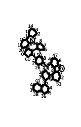 c1ccc(-c2ccccc2-n2c3ccccc3c3ccccc32)c(-c2ccc(N(c3ccc(-c4cccc5ccccc45)cc3)c3cccc4oc5ccccc5c34)cc2)c1